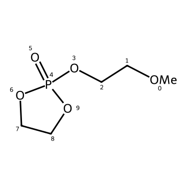 COCCOP1(=O)OCCO1